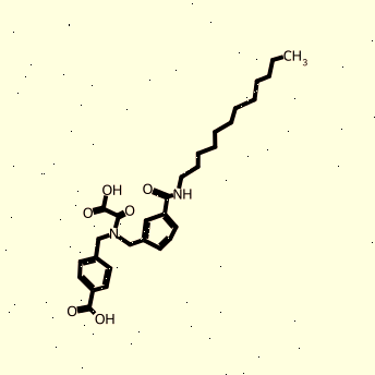 CCCCCCCCCCCCNC(=O)c1cccc(CN(Cc2ccc(C(=O)O)cc2)C(=O)C(=O)O)c1